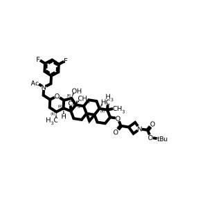 CC(=O)N(Cc1cc(F)cc(F)c1)CC1C[C@@H](C)[C@H]2C(O1)[C@H](O)[C@@]1(C)C3CC[C@H]4C(C)(C)C(OC(=O)C5CN(C(=O)OC(C)(C)C)C5)CCC45CC35CCC21C